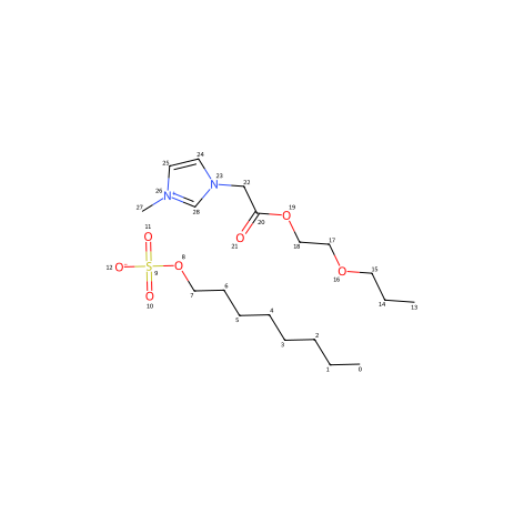 CCCCCCCCOS(=O)(=O)[O-].CCCOCCOC(=O)Cn1cc[n+](C)c1